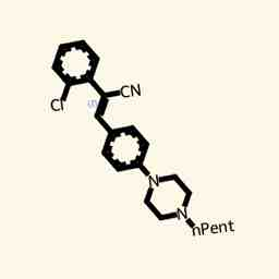 CCCCCN1CCN(c2ccc(/C=C(\C#N)c3ccccc3Cl)cc2)CC1